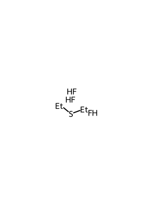 CCSCC.F.F.F